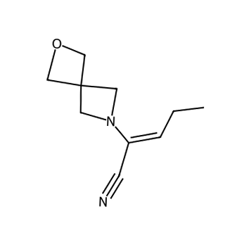 CC/C=C(/C#N)N1CC2(COC2)C1